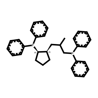 CC(C[C@H]1CCC[C@H]1P(c1ccccc1)c1ccccc1)CP(c1ccccc1)c1ccccc1